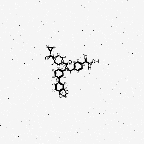 O=C(NO)c1ccc(CN(C(=O)N2CCN(C(=O)C3CC3)CC2)c2cccc(-c3ccc4c(c3)OCO4)c2)cc1